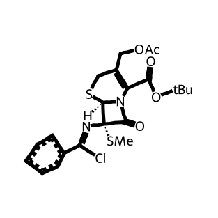 CS[C@@]1(N=C(Cl)c2ccccc2)C(=O)N2C(C(=O)OC(C)(C)C)=C(COC(C)=O)CS[C@@H]21